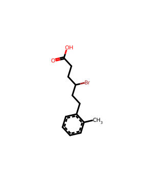 Cc1ccccc1CCC(Br)CCC(=O)O